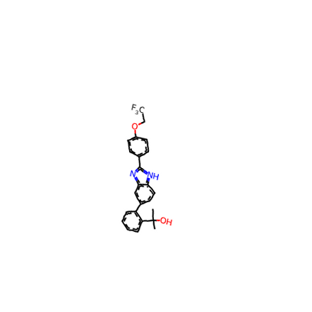 CC(C)(O)c1ccccc1-c1ccc2[nH]c(-c3ccc(OCC(F)(F)F)cc3)nc2c1